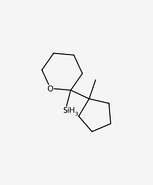 CC1(C2([SiH3])CCCCO2)CCCC1